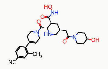 Cc1cc(C#N)ccc1C1=CCN(C(=O)[C@H]2NC[C@H](CC(=O)N3CCC(O)CC3)C[C@@H]2C(=O)NO)CC1